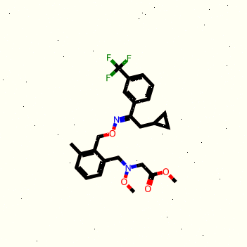 COC(=O)CN(Cc1cccc(C)c1CO/N=C(\CC1CC1)c1cccc(C(F)(F)F)c1)OC